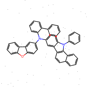 c1ccc(-c2ccccc2N(c2ccc3oc4ccccc4c3c2)c2ccc3c(c2)c2ccc4ccccc4c2n3-c2ccccc2)cc1